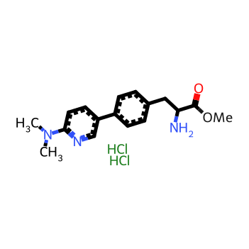 COC(=O)C(N)Cc1ccc(-c2ccc(N(C)C)nc2)cc1.Cl.Cl